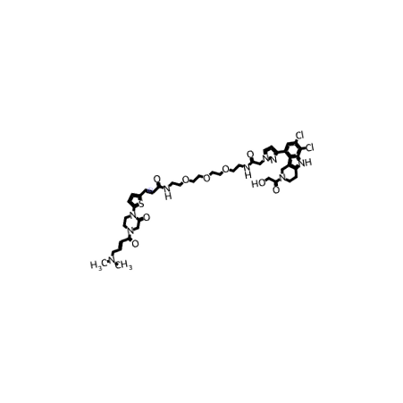 CN(C)CC=CC(=O)N1CCN(c2ccc(/C=C/C(=O)NCCOCCOCCOCCNC(=O)Cn3ccc(-c4cc(Cl)c(Cl)c5[nH]c6c(c45)CN(C(=O)CO)CC6)n3)s2)C(=O)C1